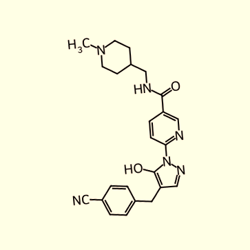 CN1CCC(CNC(=O)c2ccc(-n3ncc(Cc4ccc(C#N)cc4)c3O)nc2)CC1